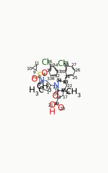 CCC(CN(C)S(=O)(=O)C1CC1)N1C(=O)[C@](C)(CCC(=O)O)C[C@H](c2cccc(Cl)c2)[C@H]1c1ccc(Cl)cc1